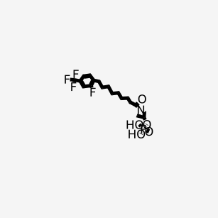 O=C(CCCCCCCCc1ccc(C(F)(F)F)cc1F)N1CC(OP(=O)(O)O)C1